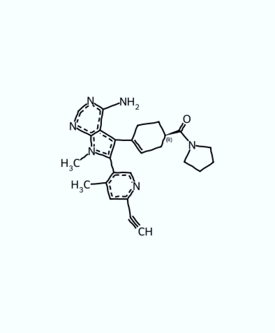 C#Cc1cc(C)c(-c2c(C3=CC[C@H](C(=O)N4CCCC4)CC3)c3c(N)ncnc3n2C)cn1